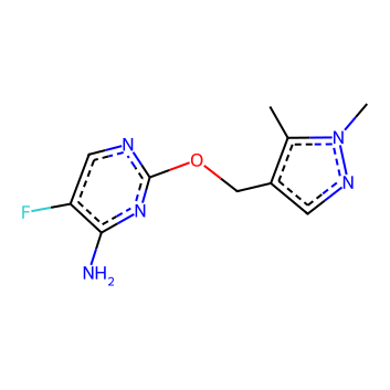 Cc1c(COc2ncc(F)c(N)n2)cnn1C